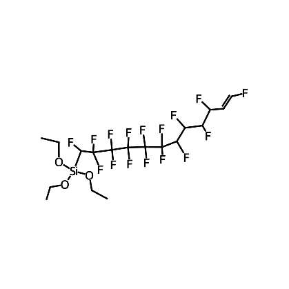 CCO[Si](OCC)(OCC)C(F)C(F)(F)C(F)(F)C(F)(F)C(F)(F)C(F)(F)C(F)C(F)C(F)C(F)C=CF